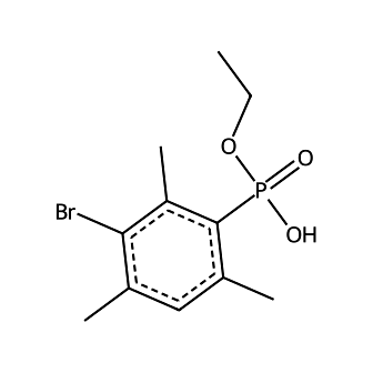 CCOP(=O)(O)c1c(C)cc(C)c(Br)c1C